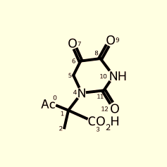 CC(=O)C(C)(C(=O)O)N1CC(=O)C(=O)NC1=O